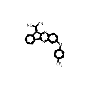 N#CC(C#N)=C1c2ccccc2-c2nc3cc(Oc4ccc(C(F)(F)F)cc4)ccc3nc21